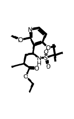 CCOC(=O)C(C)CC(NS(=O)(=O)C(C)(C)C)c1c(OC)ccnc1OC